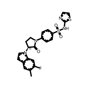 Cc1cc2ccn([C@H]3CCN(c4ccc(S(=O)(=O)Nc5nccs5)cc4)C3=O)c2cc1F